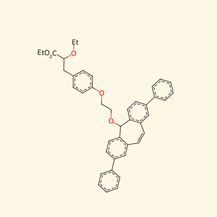 CCOC(=O)C(Cc1ccc(OCCOC2c3ccc(-c4ccccc4)cc3C=Cc3cc(-c4ccccc4)ccc32)cc1)OCC